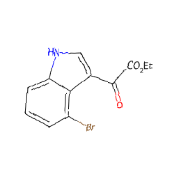 CCOC(=O)C(=O)c1c[nH]c2cccc(Br)c12